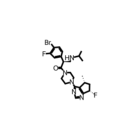 CC(C)NC[C@@H](C(=O)N1CCN(c2ncnc3c2[C@H](C)C[C@@H]3F)CC1)c1ccc(Br)c(F)c1